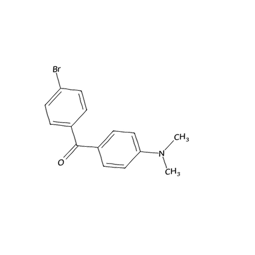 CN(C)c1ccc(C(=O)c2ccc(Br)cc2)cc1